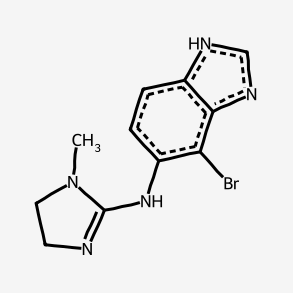 CN1CCN=C1Nc1ccc2[nH]cnc2c1Br